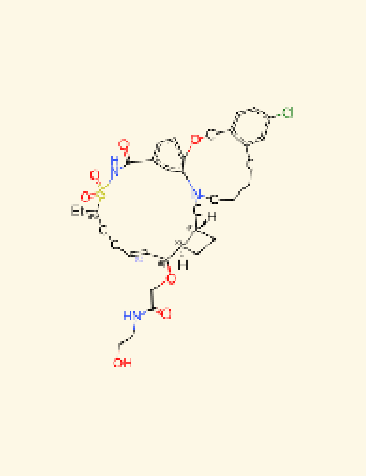 CC[C@@H]1CC/C=C/[C@H](OCC(=O)NCCO)[C@@H]2CC[C@H]2CN2CCCCc3cc(Cl)ccc3COc3ccc(cc32)C(=O)NS1(=O)=O